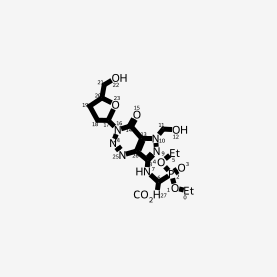 CCOP(=O)(OCC)C(Nc1nn(CO)c2c(=O)n(C3CCC(CO)O3)nnc12)C(=O)O